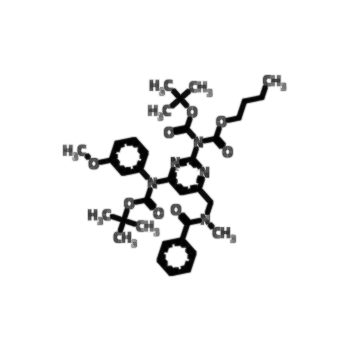 CCCCOC(=O)N(C(=O)OC(C)(C)C)c1nc(CN(C)C(=O)c2ccccc2)cc(N(C(=O)OC(C)(C)C)c2cccc(OC)c2)n1